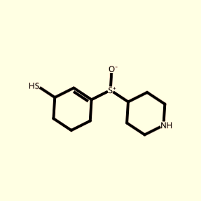 [O-][S+](C1=CC(S)CCC1)C1CCNCC1